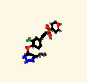 O=C(O)c1nn[nH]c1Oc1ccc(C#CS(=O)(=O)C2CCOCC2)cc1Cl